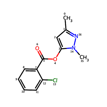 Cc1cc(OC(=O)c2ccccc2Cl)n(C)n1